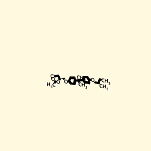 CC[C@@H](C)COc1ccc(C(C)(C)c2ccc(OC[C@@H](CCl)OC(C)=O)cc2)cc1